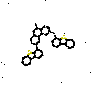 Cc1cc2c(c3cc(Cc4cccc5c4sc4ccccc45)ccc13)C=C(c1cccc3c1sc1ccccc13)CC2